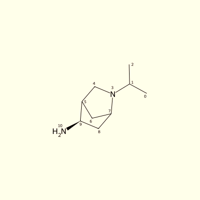 CC(C)N1CC2CC1C[C@H]2N